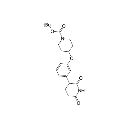 CC(C)(C)OC(=O)N1CCC(Oc2cccc(C3CCC(=O)NC3=O)c2)CC1